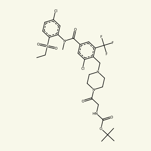 CCS(=O)(=O)c1ccc(Cl)cc1N(C)C(=O)c1cc(Cl)c(CN2CCN(C(=O)CNC(=O)OC(C)(C)C)CC2)c(C(F)(F)F)c1